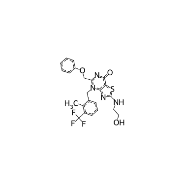 Cc1c(Cn2c(COc3ccccc3)nc(=O)c3sc(NCCO)nc32)cccc1C(F)(F)F